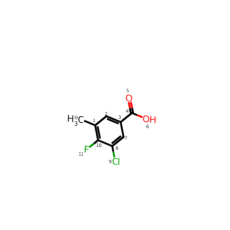 Cc1cc(C(=O)O)cc(Cl)c1F